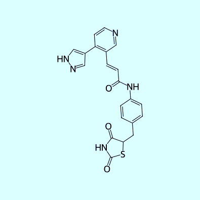 O=C(/C=C/c1cnccc1-c1cn[nH]c1)Nc1ccc(CC2SC(=O)NC2=O)cc1